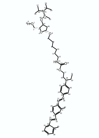 [2H]OC[C@H]1O[C@@H](OCCCCCCNC(=O)OCCN(CC)c2ccc(/N=N/c3ccc(/N=N/c4ccccc4C)cc3C)cc2)CC1OP(C)N(C(C)C)C(C)C